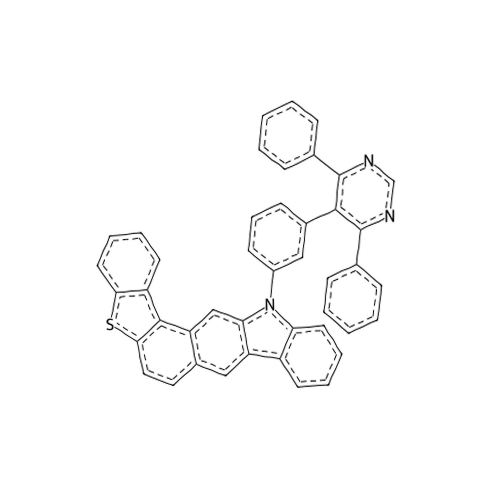 c1ccc(-c2ncnc(-c3ccccc3)c2-c2cccc(-n3c4ccccc4c4cc5ccc6sc7ccccc7c6c5cc43)c2)cc1